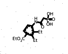 CCOC(=O)c1ccc(NC(=O)CP(=O)(O)O)c(CC)c1CC